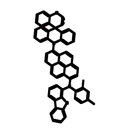 Cc1ccc(N(c2ccc3ccc4c(N5c6ccccc6C6(c7ccccc7Oc7ccccc76)c6ccccc65)ccc5ccc2c3c54)c2cccc3c2oc2ccccc23)c(C)c1